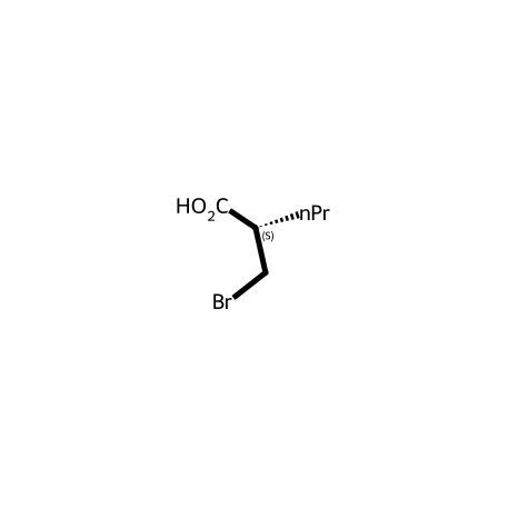 CCC[C@H](CBr)C(=O)O